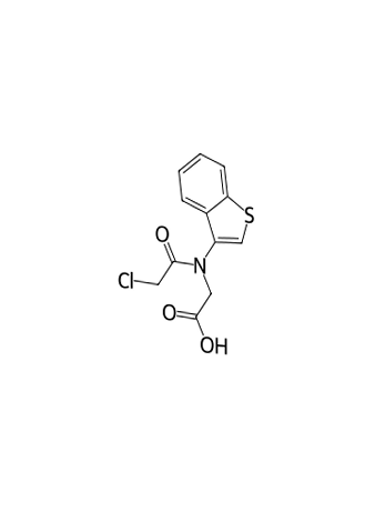 O=C(O)CN(C(=O)CCl)c1csc2ccccc12